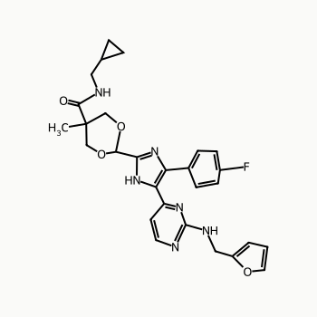 CC1(C(=O)NCC2CC2)COC(c2nc(-c3ccc(F)cc3)c(-c3ccnc(NCc4ccco4)n3)[nH]2)OC1